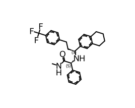 CNC(=O)[C@@H](N[C@@H](CCc1ccc(C(F)(F)F)cc1)c1ccc2c(c1)CCCC2)c1ccccc1